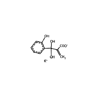 C=C(C(=O)[O-])C(O)(O)c1ccccc1O.[K+]